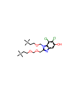 C[Si](C)(C)CCOCOCc1nc2cc(O)c(Cl)c(Cl)c2n1COCC[Si](C)(C)C